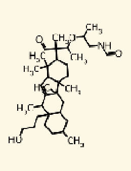 CC1CCC2(CCCO)C(C1)CC1(C)C(=CC3C(C)(C)C(C(C)(C=O)C(C)OC(C)CNC=O)CCC31C)C2C